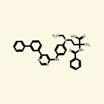 CCN(CCC(C)(NC(=O)c1ccccc1)C(=O)O)c1ccc(Nc2cc(-c3cccc(-c4ccccc4)c3)ncn2)cc1